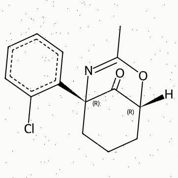 CC1=N[C@@]2(c3ccccc3Cl)CCC[C@@H](O1)C2=O